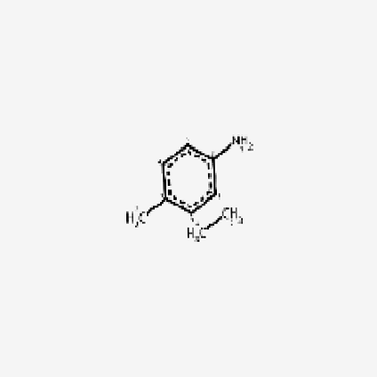 CC.Cc1ccc(N)cc1